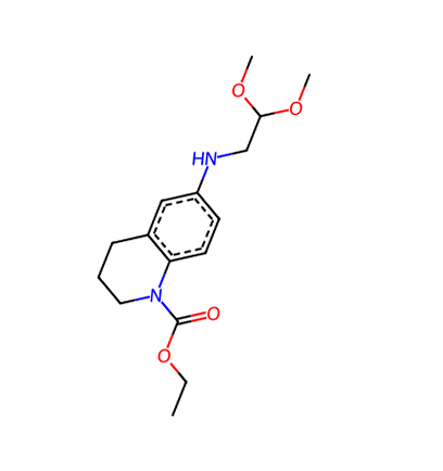 CCOC(=O)N1CCCc2cc(NCC(OC)OC)ccc21